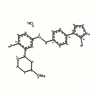 COC1CCOC(c2cc(OCc3ccc(-n4ccnc4C)cc3)ccc2F)C1.Cl